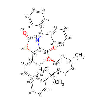 C[C@@H]1CC[C@@H](C(C)(C)c2ccccc2)[C@@H](OC(=O)C2C(c3ccccc3)OC(=O)N2C(c2ccccc2)c2ccccc2)C1